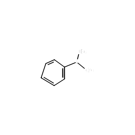 CC(C)(C)[I+](c1ccccc1)C(C)(C)C